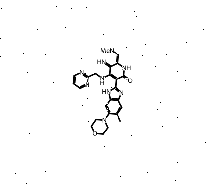 CN/C=C1/NC(=O)C(c2nc3cc(C)c(N4CCOCC4)cc3[nH]2)=C(NCc2ncccn2)C1=N